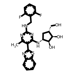 Cc1nc(NCc2c(F)cccc2F)nc(N[C@@H]2C[C@H](CO)[C@@H](O)[C@H]2O)c1-c1nc2ccccc2s1